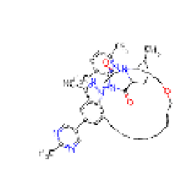 Cc1ncc(-c2cc3c4c(c2)c(C#N)nn4CC(=O)N2C4C(C)[C@]4(COC/C=C/CCCCC3)C[C@H]2C(=O)Nc2nc(C(F)(F)F)ccc2C)cn1